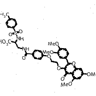 COc1cc(OC)c2c(=O)c(OCCOc3ccc(C(=O)NCC(NS(=O)(=O)c4ccc(C)cc4)C(=O)O)cc3)c(-c3ccc(OC)c(OC)c3)oc2c1